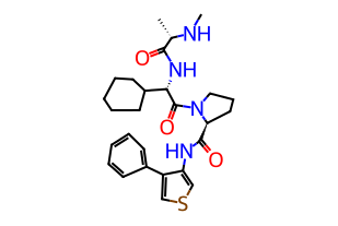 CN[C@@H](C)C(=O)N[C@H](C(=O)N1CCC[C@H]1C(=O)Nc1cscc1-c1ccccc1)C1CCCCC1